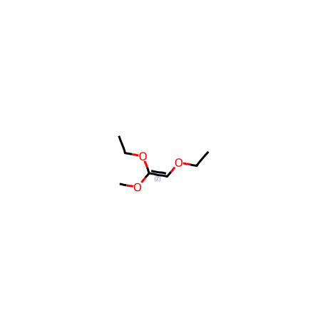 CCO/C=C(/OC)OCC